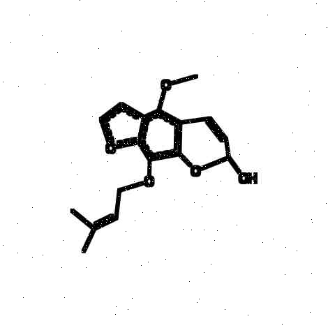 COc1c2c(c(OCC=C(C)C)c3occc13)OC(O)C=C2